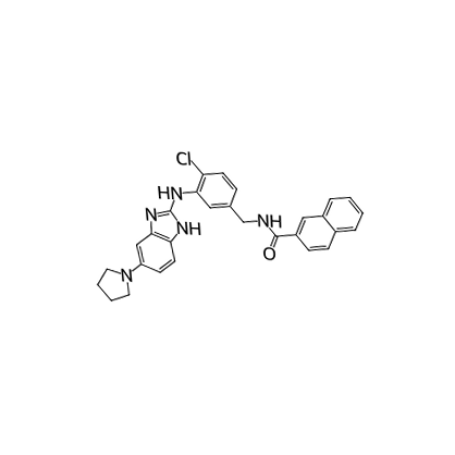 O=C(NCc1ccc(Cl)c(Nc2nc3cc(N4CCCC4)ccc3[nH]2)c1)c1ccc2ccccc2c1